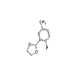 Cc1ccc(F)c(C2OCCO2)c1